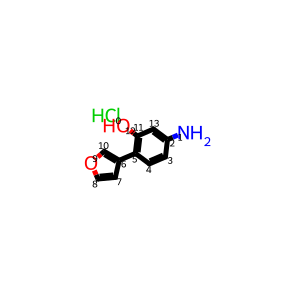 Cl.Nc1ccc(-c2ccoc2)c(O)c1